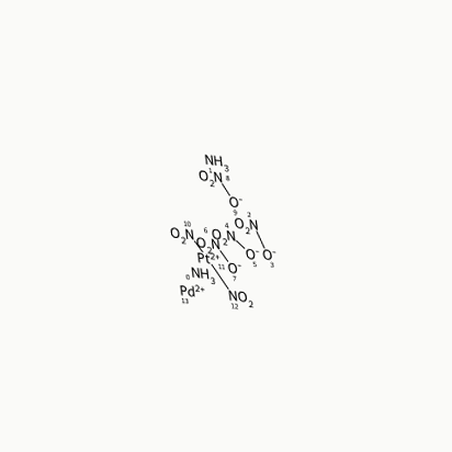 N.N.O=[N+]([O-])[O-].O=[N+]([O-])[O-].O=[N+]([O-])[O-].O=[N+]([O-])[O-].O=[N+]([O-])[Pt+2][N+](=O)[O-].[Pd+2]